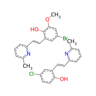 COc1cc(Br)cc(C=Cc2cccc(C)n2)c1O.Cc1cccc(C=Cc2cc(Cl)ccc2O)n1